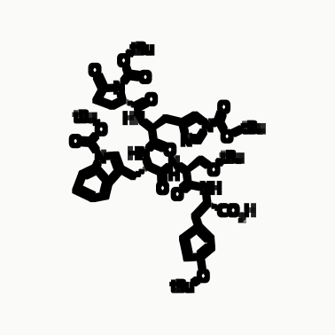 CC(C)(C)OC[C@H](NC(=O)[C@H](Cc1cn(C(=O)OC(C)(C)C)c2ccccc12)NC(=O)[C@H](Cc1cn(C(=O)OC(C)(C)C)cn1)NC(=O)[C@@H]1CCC(=O)N1C(=O)OC(C)(C)C)C(=O)N[C@@H](Cc1ccc(OC(C)(C)C)cc1)C(=O)O